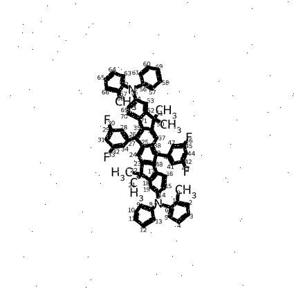 Cc1ccccc1N(c1ccccc1)c1ccc2c(c1)C(C)(C)c1cc3c(-c4cc(F)cc(F)c4)c4c(cc3c(-c3cc(F)cc(F)c3)c1-2)C(C)(C)c1cc(N(c2ccccc2)c2ccccc2C)ccc1-4